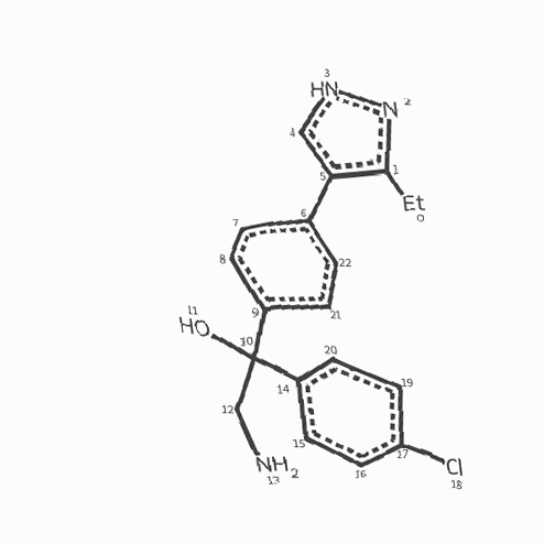 CCc1n[nH]cc1-c1ccc(C(O)(CN)c2ccc(Cl)cc2)cc1